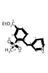 CCOC(=O)c1ccc(Cc2cccnc2)c(S(C)(=O)=O)c1